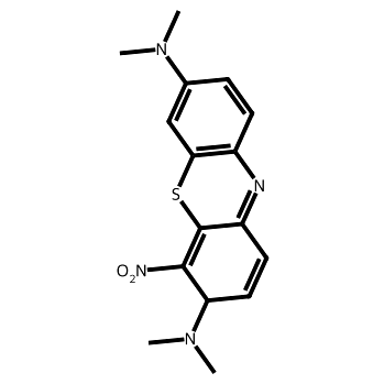 CN(C)c1ccc2c(c1)SC1=C([N+](=O)[O-])C(N(C)C)C=CC1=N2